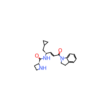 O=C(N[C@H](C=CC(=O)N1CCc2ccccc21)CC1CC1)[C@@H]1CCN1